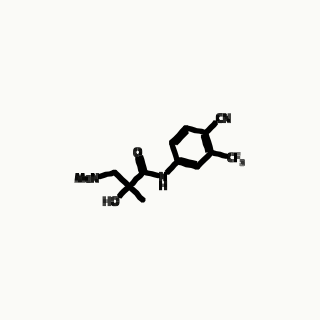 CNCC(C)(O)C(=O)Nc1ccc(C#N)c(C(F)(F)F)c1